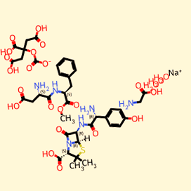 CC1(C)S[C@@H]2[C@H](NC(=O)[C@H](N)c3ccc(O)cc3)C(=O)N2[C@H]1C(=O)O.COC(=O)[C@H](Cc1ccccc1)NC(=O)[C@@H](N)CC(=O)O.NCC(=O)O.O.O.O.O=C(O)CC(CC(=O)O)(OC(=O)[O-])C(=O)O.[Na+]